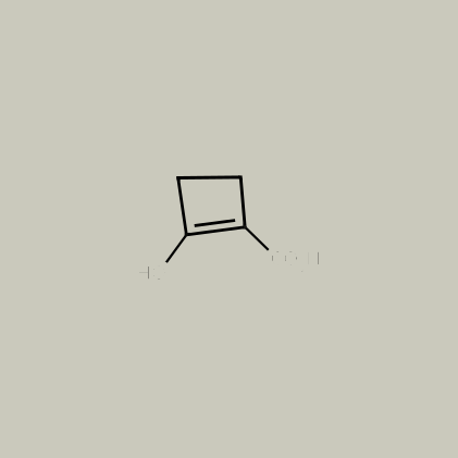 O=C(O)C1=C(O)CC1